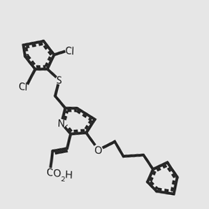 O=C(O)C=Cc1nc(CSc2c(Cl)cccc2Cl)ccc1OCCCc1ccccc1